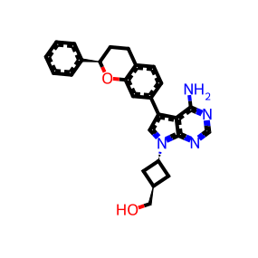 Nc1ncnc2c1c(-c1ccc3c(c1)O[C@@H](c1ccccc1)CC3)cn2[C@H]1C[C@H](CO)C1